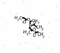 C=CC(=O)OC(C)CN(CC(C)OC(=O)C=C)C(=O)C=C